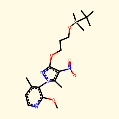 COc1nccc(C)c1-n1nc(OCCCO[Si](C)(C)C(C)(C)C)c([N+](=O)[O-])c1C